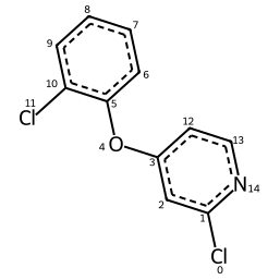 Clc1cc(Oc2ccccc2Cl)ccn1